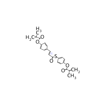 C=C(C)C(=O)Oc1ccc(/C=C/C(=O)Sc2ccc(OC(=O)C(=C)C)cc2)cc1